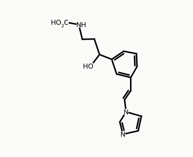 O=C(O)NCCC(O)c1cccc(/C=C/n2ccnc2)c1